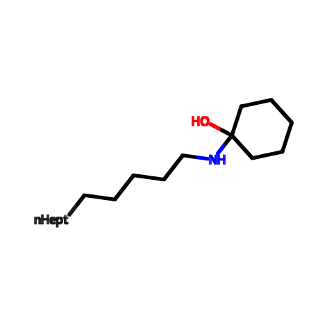 CCCCCCCCCCCCNC1(O)CCCCC1